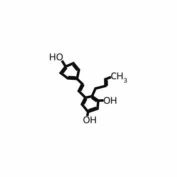 CC=CCc1c(O)cc(O)cc1C=Cc1ccc(O)cc1